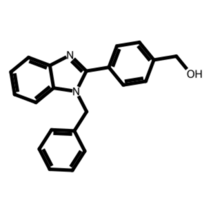 OCc1ccc(-c2nc3ccccc3n2Cc2ccccc2)cc1